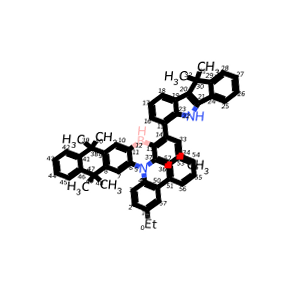 CCc1ccc(N2c3cc4c(cc3Bc3c(-c5cccc6c7c([nH]c56)-c5ccccc5C7(C)C)cc(C)cc32)C(C)(C)c2ccccc2C4(C)C)c(-c2ccccc2)c1